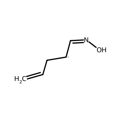 C=CC[CH]/C=N\O